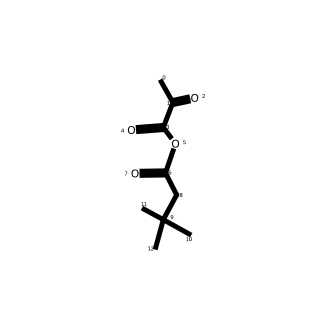 CC(=O)C(=O)OC(=O)CC(C)(C)C